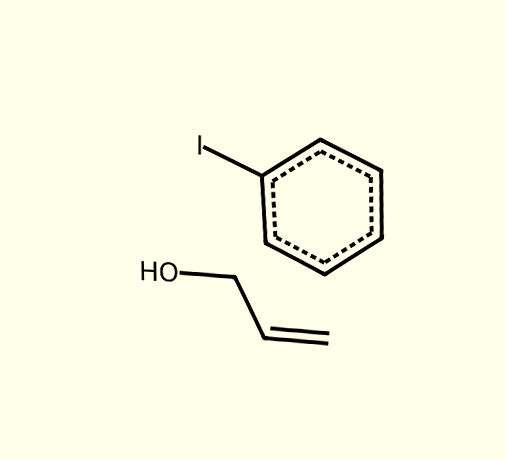 C=CCO.Ic1ccccc1